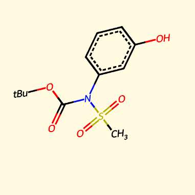 CC(C)(C)OC(=O)N(c1cccc(O)c1)S(C)(=O)=O